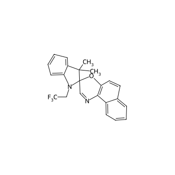 CC1(C)c2ccccc2N(CC(F)(F)F)C12C=Nc1c(ccc3ccccc13)O2